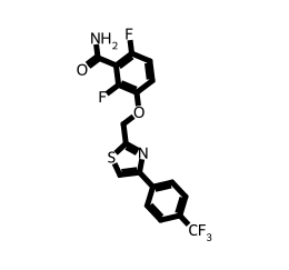 NC(=O)c1c(F)ccc(OCc2nc(-c3ccc(C(F)(F)F)cc3)cs2)c1F